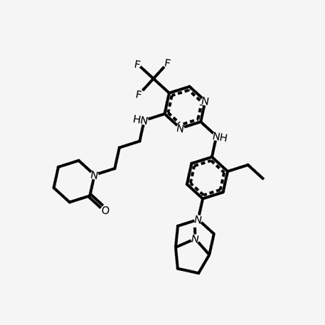 CCc1cc(N2CC3CCC(C2)N3C)ccc1Nc1ncc(C(F)(F)F)c(NCCCN2CCCCC2=O)n1